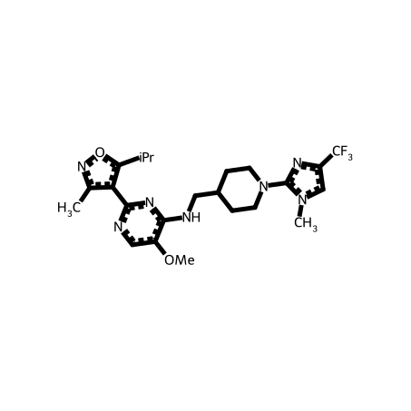 COc1cnc(-c2c(C)noc2C(C)C)nc1NCC1CCN(c2nc(C(F)(F)F)cn2C)CC1